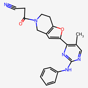 Cc1cnc(Nc2ccccc2)nc1-c1cc2c(o1)CCN(C(=O)CC#N)C2